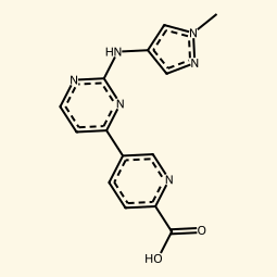 Cn1cc(Nc2nccc(-c3ccc(C(=O)O)nc3)n2)cn1